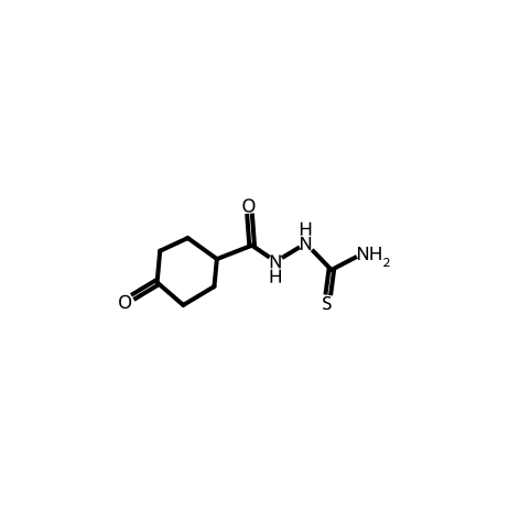 NC(=S)NNC(=O)C1CCC(=O)CC1